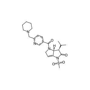 CC(C)[C@H]1C(=O)N(S(C)(=O)=O)C2=CCN(C(=O)c3ccc(CN4CCCCC4)nc3)[C@@H]21